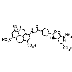 NNC(=O)C(CCC(=O)O)NC(=O)C1CCN(C(=O)CNc2cc(S(=O)(=O)O)c3c4c2CCc2c(S(=O)(=O)O)cc(S(=O)(=O)O)c(c2-4)CC3)CC1